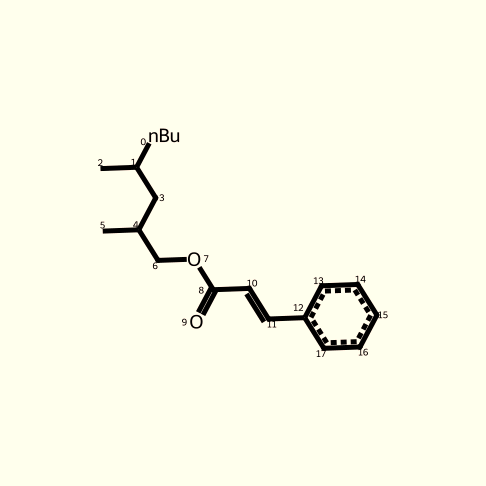 CCCCC(C)CC(C)COC(=O)/C=C/c1ccccc1